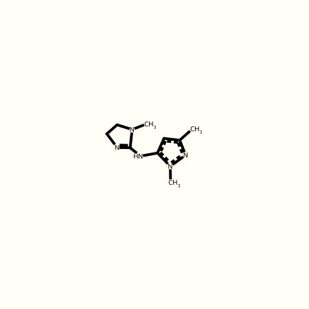 Cc1cc(NC2=NCCN2C)n(C)n1